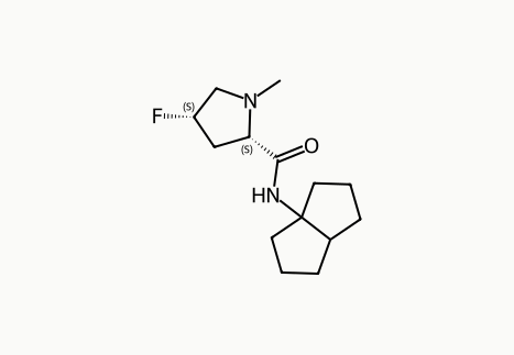 CN1C[C@@H](F)C[C@H]1C(=O)NC12CCCC1CCC2